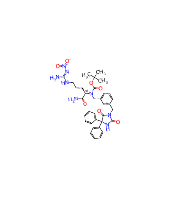 CC(C)(C)OC(=O)N(Cc1cccc(CN2C(=O)NC(c3ccccc3)(c3ccccc3)C2=O)c1)[C@H](CCCNC(N)=N[N+](=O)[O-])C(N)=O